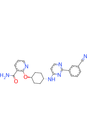 N#Cc1cccc(-c2nccc(N[C@H]3CC[C@H](Oc4ncccc4C(N)=O)CC3)n2)c1